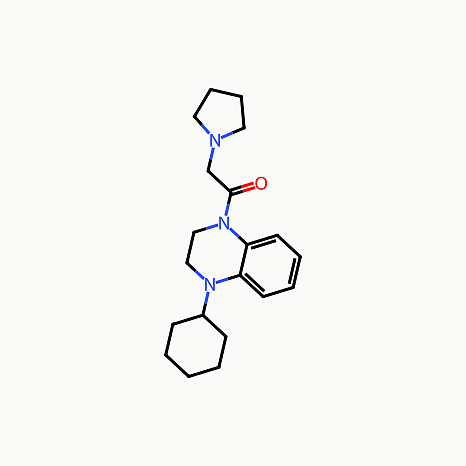 O=C(CN1CCCC1)N1CCN(C2CCCCC2)c2ccccc21